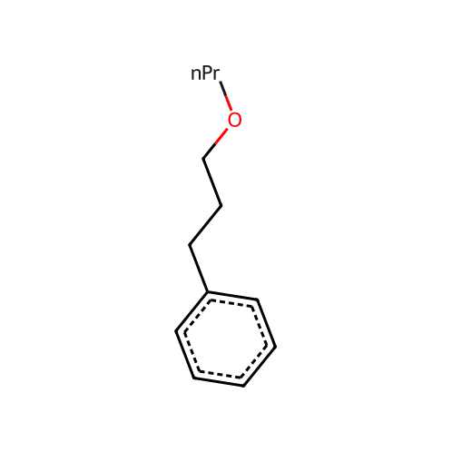 [CH2]CCOCCCc1ccccc1